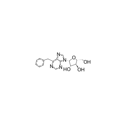 OC[C@H]1O[C@@H](n2cnc3c(Cc4ccccc4)ncnc32)[C@@H](O)[C@@H]1O